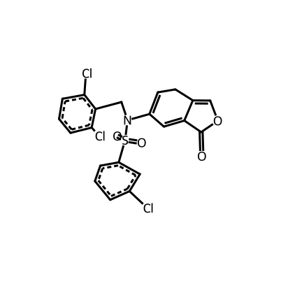 O=C1OC=C2CC=C(N(Cc3c(Cl)cccc3Cl)S(=O)(=O)c3cccc(Cl)c3)C=C12